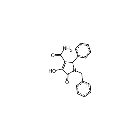 NC(=O)C1=C(O)C(=O)N(Cc2ccccc2)C1c1ccccc1